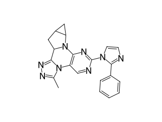 Cc1nnc2n1-c1cnc(-n3ccnc3-c3ccccc3)nc1N1C2CC2CC21